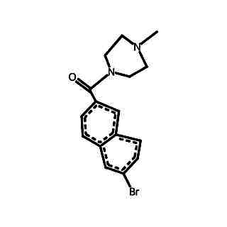 CN1CCN(C(=O)c2ccc3cc(Br)ccc3c2)CC1